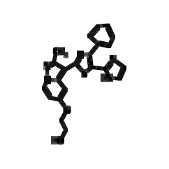 Cc1nn2ccc(OCCO)cc2c1-c1nc(-c2ccccc2)c(-c2ncc[nH]2)s1